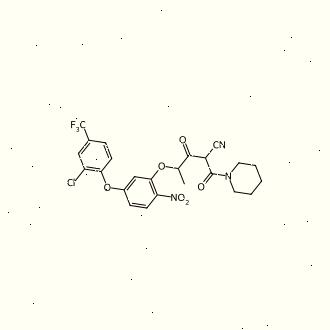 CC(Oc1cc(Oc2ccc(C(F)(F)F)cc2Cl)ccc1[N+](=O)[O-])C(=O)C(C#N)C(=O)N1CCCCC1